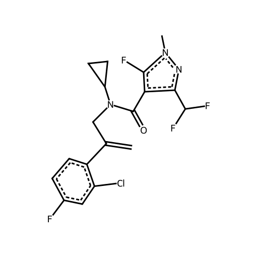 C=C(CN(C(=O)c1c(C(F)F)nn(C)c1F)C1CC1)c1ccc(F)cc1Cl